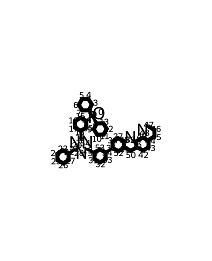 O=P(c1ccccc1)(c1ccccc1)c1cccc(-c2nc(-c3ccccc3)nc(-c3cccc(-c4ccc5nc6c(ccc7cccnc76)cc5c4)c3)n2)c1